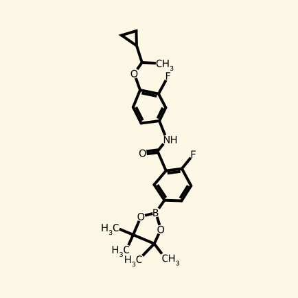 CC(Oc1ccc(NC(=O)c2cc(B3OC(C)(C)C(C)(C)O3)ccc2F)cc1F)C1CC1